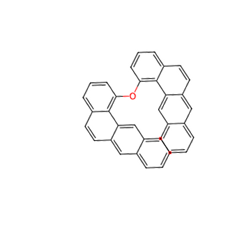 c1ccc2cc3c(ccc4cccc(Oc5cccc6ccc7cc8ccccc8cc7c56)c43)cc2c1